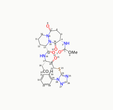 COC(=O)N[C@H]1CCC(=O)N2CCC[C@@H](C(=O)N[C@@H](CC(=O)O)C(=O)CSc3ncnn3-c3ccccc3)N2C1=O